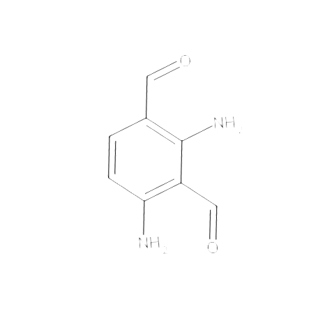 Nc1ccc(C=O)c(N)c1C=O